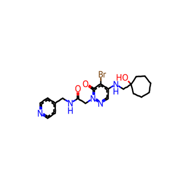 O=C(Cn1ncc(NCC2(O)CCCCCC2)c(Br)c1=O)NCc1ccncc1